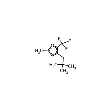 Cc1cc(CC(C)(C)C)c(C(F)(F)F)o1